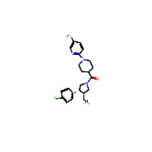 CC(=O)c1ccc(N2CCC(C(=O)N3C[C@@H](C)[C@H](c4ccc(F)cc4)C3)CC2)nc1